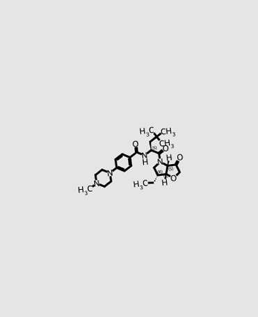 CC[C@@H]1CN(C(=O)[C@H](CC(C)(C)C)NC(=O)c2ccc(N3CCN(C)CC3)cc2)[C@@H]2C(=O)CO[C@H]12